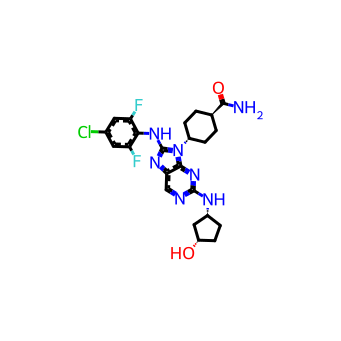 NC(=O)[C@H]1CC[C@H](n2c(Nc3c(F)cc(Cl)cc3F)nc3cnc(N[C@@H]4CC[C@H](O)C4)nc32)CC1